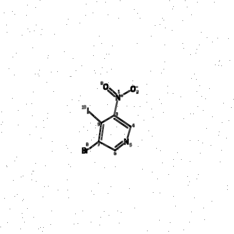 O=[N+]([O-])c1cncc(Br)c1I